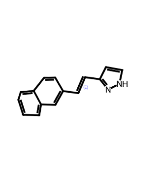 C(=C\c1cc[nH]n1)/c1ccc2ccccc2c1